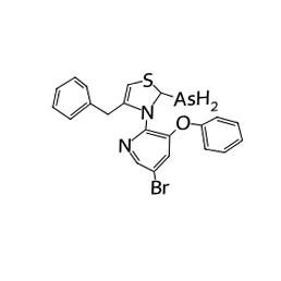 [AsH2]C1SC=C(Cc2ccccc2)N1c1ncc(Br)cc1Oc1ccccc1